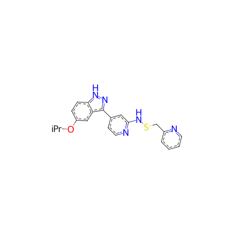 CC(C)Oc1ccc2[nH]nc(-c3ccnc(NSCc4ccccn4)c3)c2c1